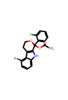 CC(=O)OC1(c2ccccc2F)OCCc2c1[nH]c1cccc(Br)c21